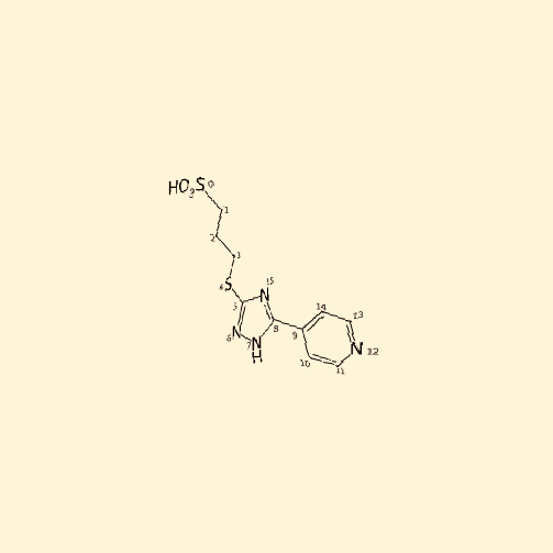 O=S(=O)(O)CCCSc1n[nH]c(-c2ccncc2)n1